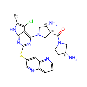 CCc1[nH]c2nc(Sc3cnc4cccnc4c3)nc(N3C[C@H](N)[C@H](C(=O)N4CC[C@@H](N)C4)C3)c2c1Cl